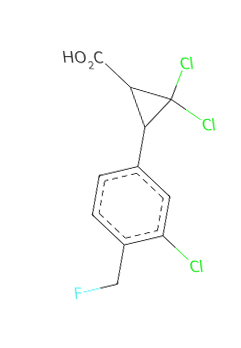 O=C(O)C1C(c2ccc(CF)c(Cl)c2)C1(Cl)Cl